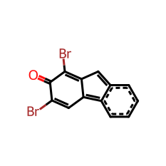 O=C1C(Br)=CC2=c3ccccc3=CC2=C1Br